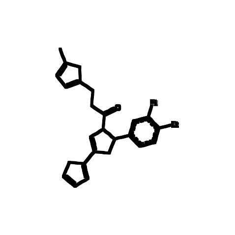 CCc1ccc(C2CC(C3=CC=CC3)=CC2C(=O)CCC2=CC=C(C)C2)cc1CC